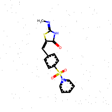 C/N=C1/NC(=O)/C(=C\c2ccc(S(=O)(=O)[n+]3ccccc3)cc2)S1